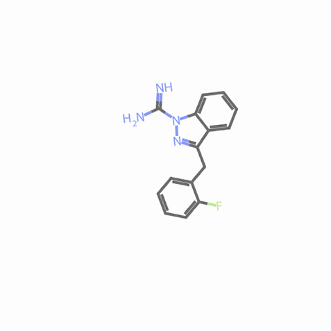 N=C(N)n1nc(Cc2ccccc2F)c2ccccc21